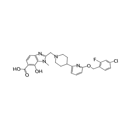 Cn1c(CN2CCC(c3cccc(OCc4ccc(Cl)cc4F)n3)CC2)nc2ccc(C(=O)O)c(O)c21